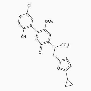 COc1cn(C(Cc2nnc(C3CC3)o2)C(=O)O)c(=O)cc1-c1cc(Cl)ccc1C#N